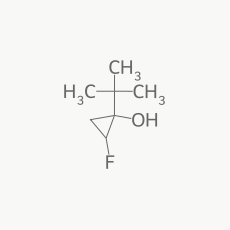 CC(C)(C)C1(O)CC1F